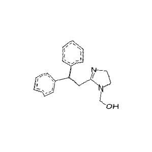 OCN1CCN=C1CC(c1ccccc1)c1ccccc1